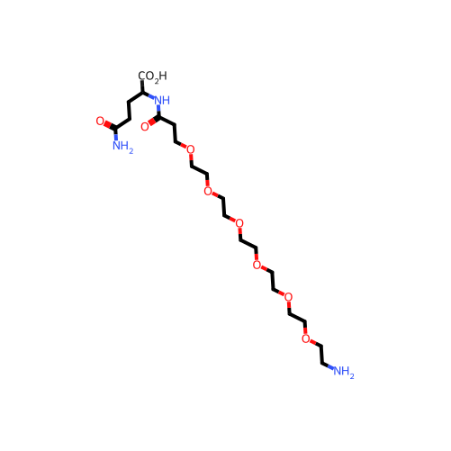 NCCOCCOCCOCCOCCOCCOCCC(=O)NC(CCC(N)=O)C(=O)O